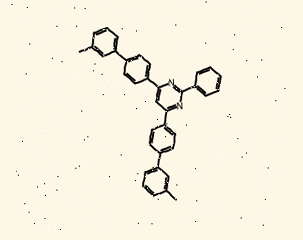 Cc1cccc(-c2ccc(-c3cc(-c4ccc(-c5cccc(C)c5)cc4)nc(-c4ccccc4)n3)cc2)c1